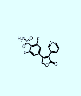 NS(=O)(=O)c1c(F)cc(C2=C(c3cccnc3)C(=O)OC2)cc1F